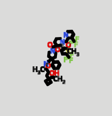 C=C(O)C1(CCC(C)Oc2ccccc2C2(C#N)CCN(C(=O)[C@]3(Oc4csc(C(F)(F)F)c4)CCCN(C(=O)c4ncccc4C(F)(F)F)[C@@H]3CCC)CC2)CCC1